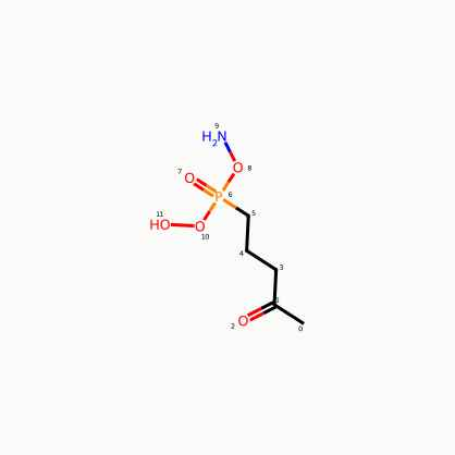 CC(=O)CCCP(=O)(ON)OO